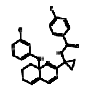 O=C(NC1(C2=NC3(Nc4cccc(Cl)c4)CCCC=C3C=C2)CC1)c1ccc(F)cc1